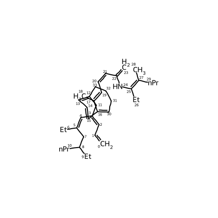 C=C/C=C(\C=C(\CC)CC(CC)CCC)C\C1=C/C=C/C(C(/C)=C/C=C\C(=C)N/C(CC)=C(\C)CCC)=C/CCC1